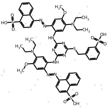 CCN(CC)c1cc(Nc2nc(Nc3cc(N(CC)CC)c(OC)cc3/N=N/c3ccc(S(=O)(=O)O)c4ccccc34)nc(SCc3cccc(S(=O)(=O)O)c3)n2)c(/N=N/c2ccc(S(=O)(=O)O)c3ccccc23)cc1OC